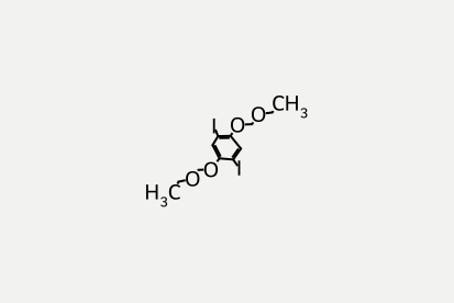 CCOCOc1cc(I)c(OCOCC)cc1I